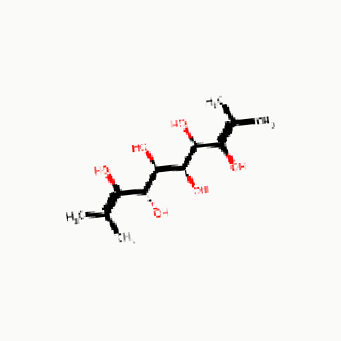 CC(C)=C(O)[C@@H](O)[C@@H](O)[C@H](O)[C@@H](O)C(O)=C(C)C